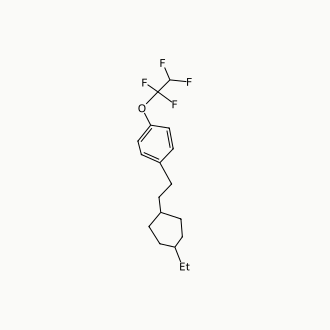 CCC1CCC(CCc2ccc(OC(F)(F)C(F)F)cc2)CC1